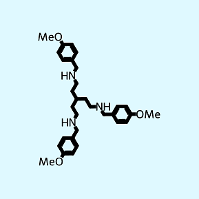 COc1ccc(CNCCC(CCNCc2ccc(OC)cc2)CCNCc2ccc(OC)cc2)cc1